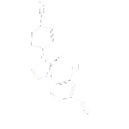 Cc1cc(C#N)ccc1N1C=CN(c2ccc(C#N)cc2)[C@H]1C